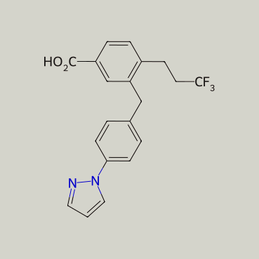 O=C(O)c1ccc(CCC(F)(F)F)c(Cc2ccc(-n3cccn3)cc2)c1